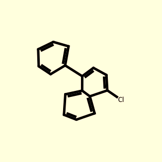 Clc1ccc(-c2ccccc2)c2ccccc12